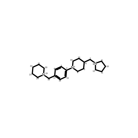 c1cc(N2CCC(CN3CCCC3)CC2)ccc1CN1CCCCC1